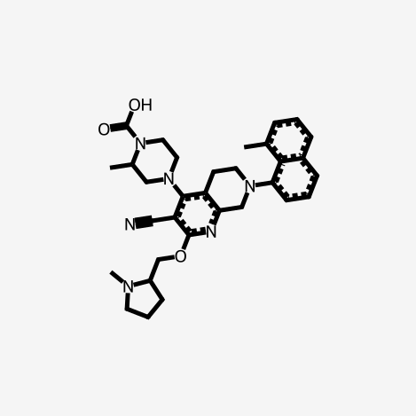 Cc1cccc2cccc(N3CCc4c(nc(OCC5CCCN5C)c(C#N)c4N4CCN(C(=O)O)C(C)C4)C3)c12